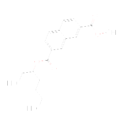 CCCCC(CC)OC(=O)c1ccc2ccc(C(=O)OC)cc2c1